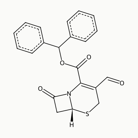 O=CC1=C(C(=O)OC(c2ccccc2)c2ccccc2)N2C(=O)C[C@H]2SC1